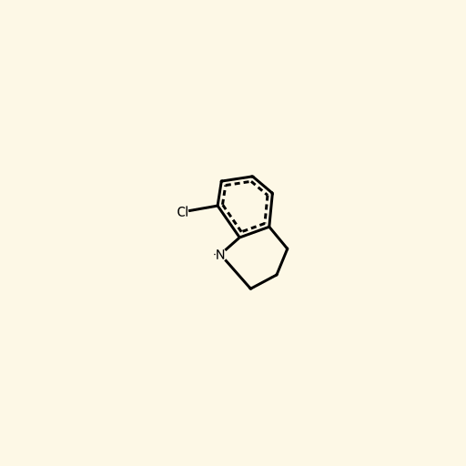 Clc1cccc2c1[N]CCC2